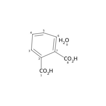 O.O=C(O)c1ccccc1C(=O)O